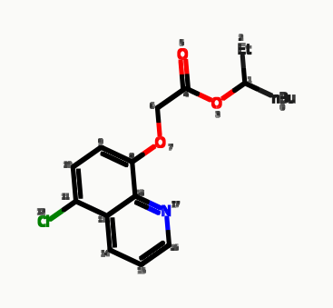 CCCCC(CC)OC(=O)COc1ccc(Cl)c2cccnc12